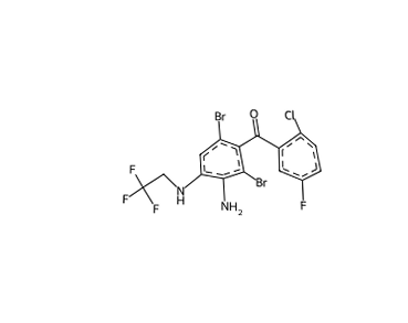 Nc1c(NCC(F)(F)F)cc(Br)c(C(=O)c2cc(F)ccc2Cl)c1Br